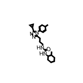 CC1C=CC(n2c(CCCNC(=O)NC3CCCCC3C)nnc2C2CC2)=CC1